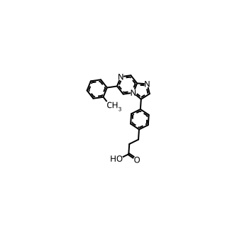 Cc1ccccc1-c1cn2c(-c3ccc(CCC(=O)O)cc3)cnc2cn1